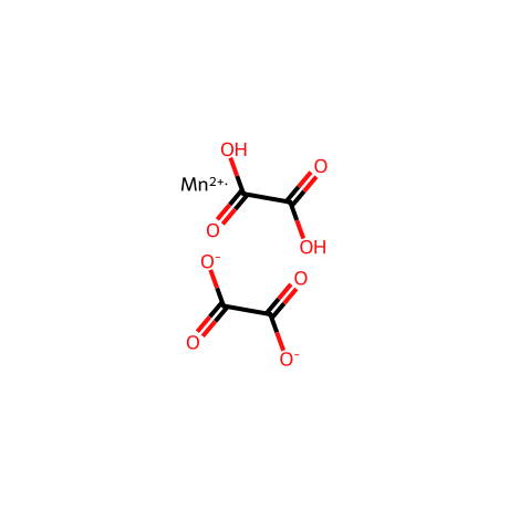 O=C(O)C(=O)O.O=C([O-])C(=O)[O-].[Mn+2]